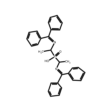 CC(N=C(c1ccccc1)c1ccccc1)P(=O)(O)C(C)N=C(c1ccccc1)c1ccccc1